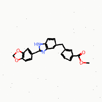 COC(=O)c1cccc(Cc2ccc3[nH]c(-c4ccc5c(c4)OCO5)nc3c2)c1